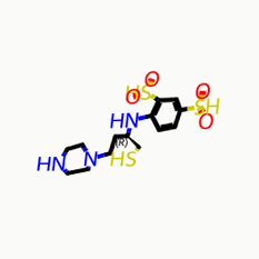 O=[SH](=O)c1ccc(N[C@@H](CS)CCN2CCNCC2)c([SH](=O)=O)c1